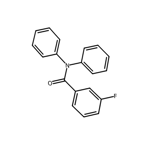 O=C(c1cccc(F)c1)N(c1ccccc1)c1ccccc1